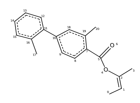 C/C=C(/C)OC(=O)c1ccc(-c2ccccc2C)cc1C